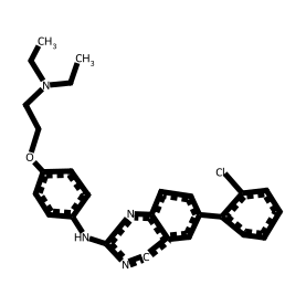 CCN(CC)CCOc1ccc(Nc2ncc3cc(-c4ccccc4Cl)ccc3n2)cc1